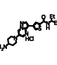 CCC(CC)NC(=O)c1cc(-c2cnn3cc(N4CCC(N)CC4)cnc23)cs1.Cl